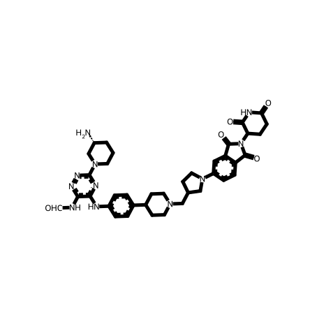 N[C@@H]1CCCN(c2nnc(NC=O)c(Nc3ccc(C4CCN(CC5CCN(c6ccc7c(c6)C(=O)N(C6CCC(=O)NC6=O)C7=O)C5)CC4)cc3)n2)C1